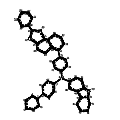 c1ccc(-c2ccc(N(c3ccc(-c4cccc5c4ccc4oc(-c6ccccc6)nc45)cc3)c3ccc4sc5ccccc5c4c3)cc2)cc1